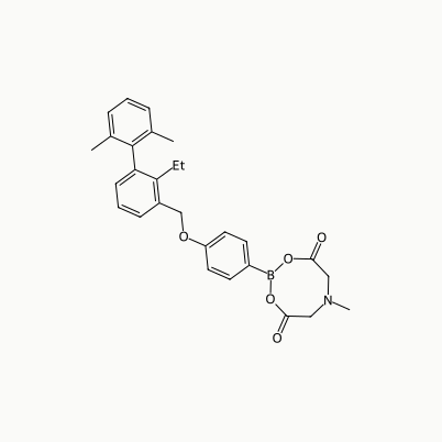 CCc1c(COc2ccc(B3OC(=O)CN(C)CC(=O)O3)cc2)cccc1-c1c(C)cccc1C